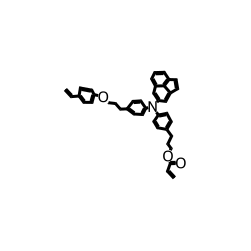 C=CC(=O)OCCCc1ccc(N(c2ccc(CCCOc3ccc(C=C)cc3)cc2)c2cc3c4c(cccc4c2)C=C3)cc1